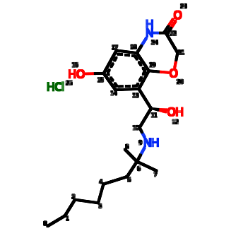 CCCCCCC(C)(C)NC[C@H](O)c1cc(O)cc2c1OCC(=O)N2.Cl